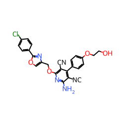 [C-]#[N+]c1c(N)nc(OCc2coc(-c3ccc(Cl)cc3)n2)c(C#N)c1-c1ccc(OCCO)cc1